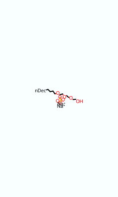 CCCCCCCCCCCCCCOCCOCCOCCO.O=S(=O)([O-])[O-].[Na+].[Na+]